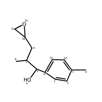 Cc1ccc(C(O)C(C)CC2CO2)cc1